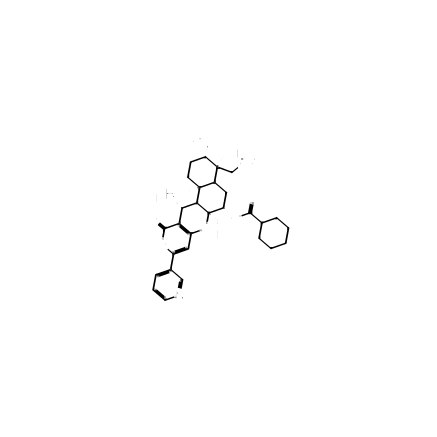 CC(=O)OC[C@@]1(C)C2C[C@H](OC(=O)C3CCCCC3)[C@@]3(C)Oc4cc(-c5cccnc5)oc(=O)c4[C@H](O)C3[C@@]2(C)CC[C@@H]1OC(C)=O